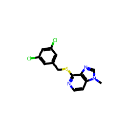 Cn1cnc2c(SCc3cc(Cl)cc(Cl)c3)nccc21